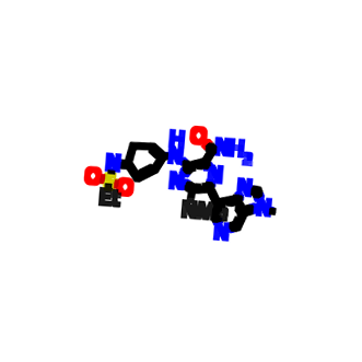 CCS(=O)(=O)N=C1C=CC(Nc2nc(NC)c(-c3cncc4c3ncn4C)nc2C(N)=O)=CC1